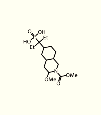 CCC(CC)(C1CCC2CN(C(=O)OC)C(OC)CC2C1)P(=O)(O)O